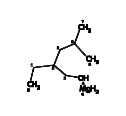 CCC(CO)CC(C)C.[MgH2]